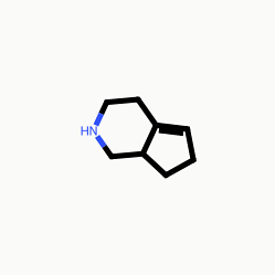 C1=C2CCNCC2CC1